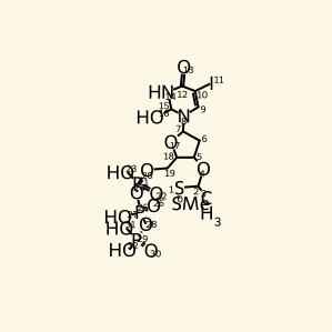 CSSC(C)OC1CC(N2C=C(I)C(=O)NC2O)OC1COP(=O)(O)OP(=O)(O)OP(=O)(O)O